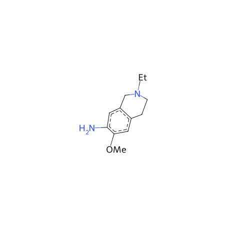 CCN1CCc2cc(OC)c(N)cc2C1